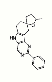 CC1CCC2(CCc3[nH]c4cnc(-c5ccccc5)nc4c3C2)O1